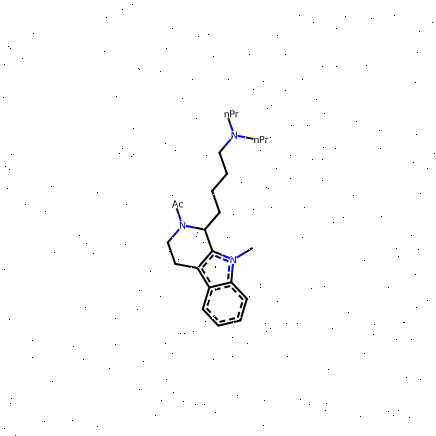 CCCN(CCC)CCCCC1c2c(c3ccccc3n2C)CCN1C(C)=O